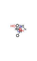 Oc1ccc2c(c1)[C@@]13[C@H]4[C@H]5CC[C@@]1(O[C@@H]4CN5Cc1ccccc1)[C@@H](C2)N(CC1CC1)C[C@H]3O